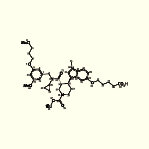 COCCCOc1cc(CN(C(=O)[C@H]2CN(C(=O)OC(C)(C)C)CC[C@@H]2c2cn(C)c3ccc(OCCCCC(=O)O)cc23)C2CC2)cc(OC)c1